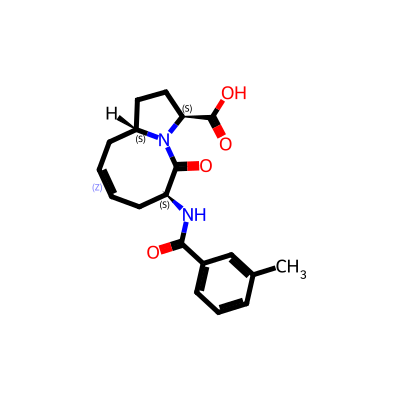 Cc1cccc(C(=O)N[C@H]2C/C=C\C[C@@H]3CC[C@@H](C(=O)O)N3C2=O)c1